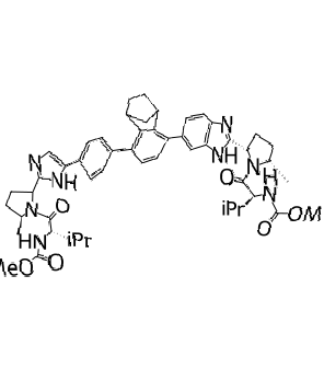 COC(=O)N[C@H](C(=O)N1C(c2ncc(-c3ccc(-c4ccc(-c5ccc6nc([C@@H]7CC[C@H](C)N7C(=O)[C@@H](NC(=O)OC)C(C)C)[nH]c6c5)c5c4C4CCC5C4)cc3)[nH]2)CC[C@@H]1C)C(C)C